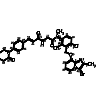 Cc1nc2c(OCc3c(Cl)ccc(N(C)C(=O)CNC(=O)C=Cc4ccc(N5CCCCC5=O)cc4)c3Cl)cccn2c1Br